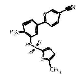 Cc1ccc(S(=O)(=O)Nc2cc(-c3ccc(C#N)cn3)ccc2C)s1